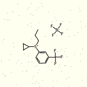 CCC[S+](c1cccc(C(F)(F)F)c1)C1CC1.F[B-](F)(F)F